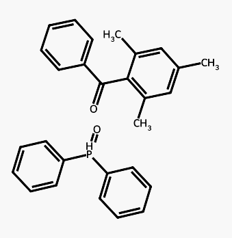 Cc1cc(C)c(C(=O)c2ccccc2)c(C)c1.O=[PH](c1ccccc1)c1ccccc1